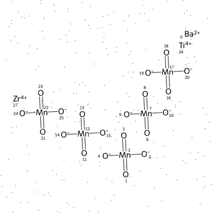 [Ba+2].[O]=[Mn](=[O])([O-])[O-].[O]=[Mn](=[O])([O-])[O-].[O]=[Mn](=[O])([O-])[O-].[O]=[Mn](=[O])([O-])[O-].[O]=[Mn](=[O])([O-])[O-].[Ti+4].[Zr+4]